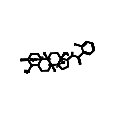 CN1C(=O)CC[C@@]2(C)C1CC[C@@H]1[C@H]2CC[C@]2(C)C(NC(=O)c3ccccc3F)CC[C@@H]12